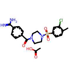 CC(=O)O.Cc1ccc(S(=O)(=O)N2CCN(C(=O)c3ccc(C(=N)N)cc3)CC2)cc1Cl